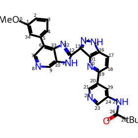 COc1cccc(-c2cncc3[nH]c(-c4n[nH]c5ccc(-c6cncc(NC(=O)C(C)(C)C)c6)nc45)nc23)c1